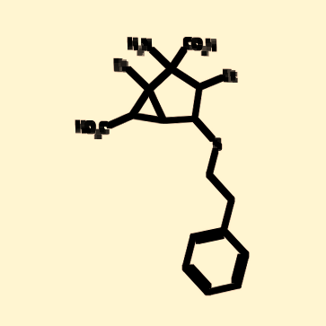 CCC1C(SCCc2ccccc2)C2C(C(=O)O)C2(CC)C1(N)C(=O)O